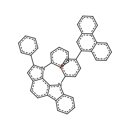 c1ccc(-c2cc3ccc4c5ccccc5n(-c5ccc(-c6cc7ccccc7c7ccccc67)cc5)c4c3n2-c2ccccc2)cc1